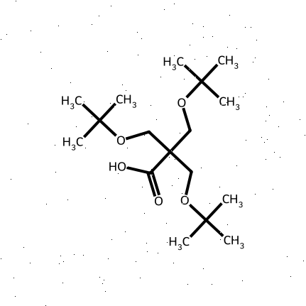 CC(C)(C)OCC(COC(C)(C)C)(COC(C)(C)C)C(=O)O